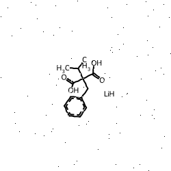 CC(C)C(Cc1ccccc1)(C(=O)O)C(=O)O.[LiH]